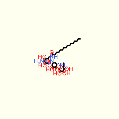 CCCCCCCCCCCCCCCC(=O)NCC1O[C@H](O[C@@H]2C(O)C(O[C@H]3OC(CC)[C@@H](O)C(O)C3O)[C@@H](N)C[C@H]2N)C(O)[C@@H](N)[C@@H]1O